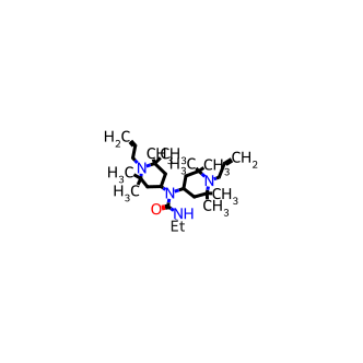 C=CCN1C(C)(C)CC(N(C(=O)NCC)C2CC(C)(C)N(CC=C)C(C)(C)C2)CC1(C)C